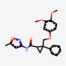 COc1ccc(OCC2(c3ccccc3)CC2C(=O)Nc2cc(C)on2)cc1OC